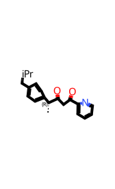 CC(C)Cc1ccc([C@@H](C)C(=O)CC(=O)c2ccccn2)cc1